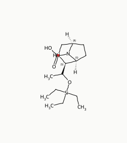 CC[Si](CC)(CC)OC(C)[C@H]1NC[C@H]2CC[C@@H]1N2C(=O)O